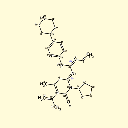 C=C/N=C(\N=C1/CC(C)=C(C(=C)C)C(=O)N1C1CCCC1)Nc1ccc(C2CCNCC2)cn1